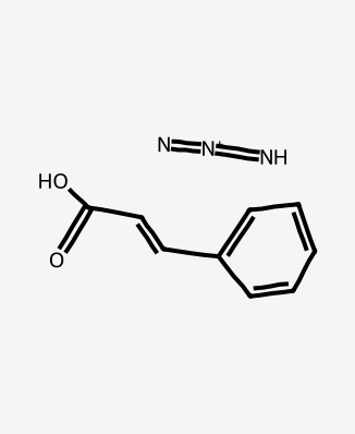 O=C(O)C=Cc1ccccc1.[N-]=[N+]=N